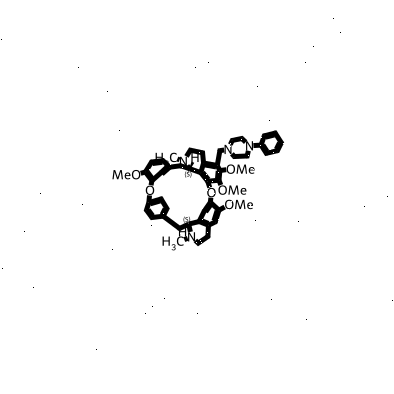 COc1ccc2cc1Oc1ccc(cc1)C[C@H]1c3cc(c(OC)cc3CCN1C)Oc1c(OC)c(OC)c(CN3CCN(c4ccccc4)CC3)c3c1[C@H](C2)N(C)CC3